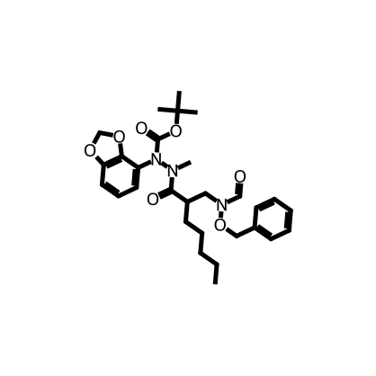 CCCCCC(CN(C=O)OCc1ccccc1)C(=O)N(C)N(C(=O)OC(C)(C)C)c1cccc2c1OCO2